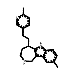 Cc1ccc2[nH]c3c(c2c1)CNCCC3CCc1ccc(C)nc1